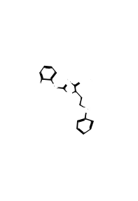 Br.Cc1ccccc1NC1=NC(=O)C(CCNc2ccccc2)S1